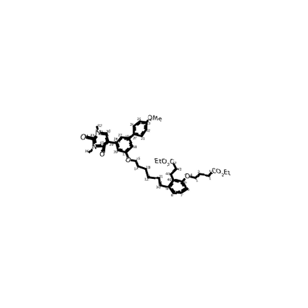 CCOC(=O)CCCOc1cccc(CCCCCCOc2cc(-c3ccc(OC)cc3)cc(-c3cn(C)c(=O)n(C)c3=O)c2)c1CCC(=O)OCC